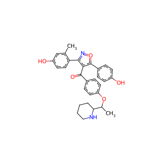 Cc1cc(O)ccc1-c1noc(-c2ccc(O)cc2)c1C(=O)c1ccc(OC(C)C2CCCCN2)cc1